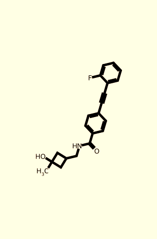 CC1(O)CC(CNC(=O)c2ccc(C#Cc3ccccc3F)cc2)C1